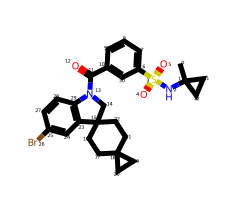 CC1(NS(=O)(=O)c2cccc(C(=O)N3CC4(CCC5(CC5)CC4)c4cc(Br)ccc43)c2)CC1